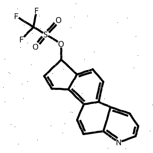 O=S(=O)(OC1C=Cc2c1ccc1c2ccc2ncccc21)C(F)(F)F